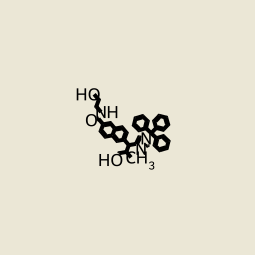 CC(CO)C(c1ccc2cc(C(=O)NCCO)ccc2c1)c1cn(C(c2ccccc2)(c2ccccc2)c2ccccc2)cn1